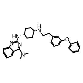 CN(C)c1nc(N[C@H]2CC[C@@H](NCCc3cccc(Oc4ccccc4)c3)CC2)nc2ccccc12